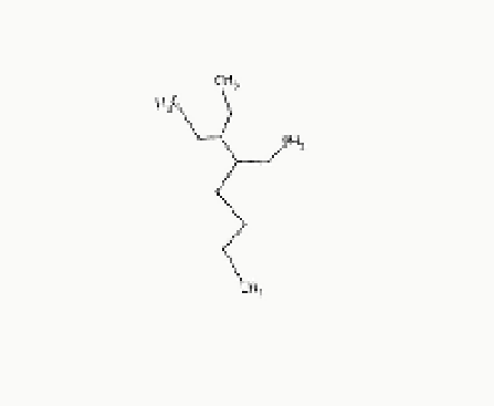 CCCCC(CP)C(CC)CC